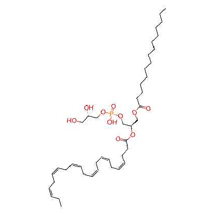 CC/C=C\C/C=C\C/C=C\C/C=C\C/C=C\C/C=C\CCC(=O)O[C@H](COC(=O)CCCCCCCCCCCCCC)COP(=O)(O)OC[C@@H](O)CO